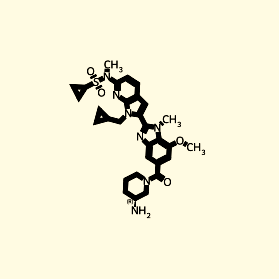 COc1cc(C(=O)N2CCC[C@@H](N)C2)cc2nc(-c3cc4ccc(N(C)S(=O)(=O)C5CC5)nc4n3CC3CC3)n(C)c12